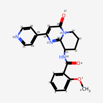 COc1ccccc1C(=O)NC1CCCn2c1nc(-c1ccncc1)cc2=O